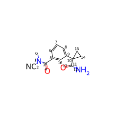 CN(C#N)C(=O)c1cccc(C2(C(N)=O)CC2)c1